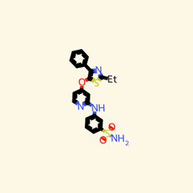 CCc1nc(-c2ccccc2)c(Oc2ccnc(Nc3cccc(S(N)(=O)=O)c3)c2)s1